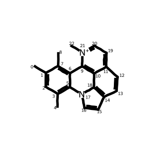 Cc1cc(C)c2c(c1C)c1c3c(ccc4ccn2c43)cc[n+]1C